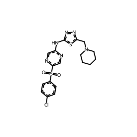 O=S(=O)(c1ccc(Cl)cc1)c1cnc(Nc2nnc(CN3CCCCC3)s2)cn1